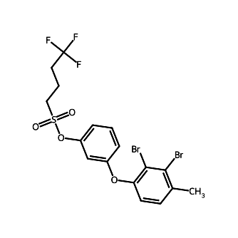 Cc1ccc(Oc2cccc(OS(=O)(=O)CCCC(F)(F)F)c2)c(Br)c1Br